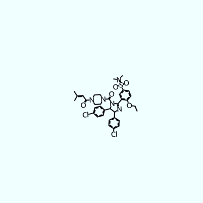 CCOc1ccc(S(=O)(=O)N(C)C)cc1C1=NC(c2ccc(Cl)cc2)C(c2ccc(Cl)cc2)N1C(=O)N1CCN(C(=O)C=C(C)C)CC1